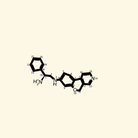 N[C@H](CNc1ccc2c(c1)OCc1cnccc1-2)c1ccccc1